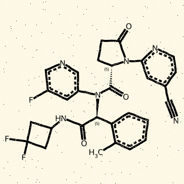 Cc1ccccc1[C@@H](C(=O)NC1CC(F)(F)C1)N(C(=O)[C@@H]1CCC(=O)N1c1cc(C#N)ccn1)c1cncc(F)c1